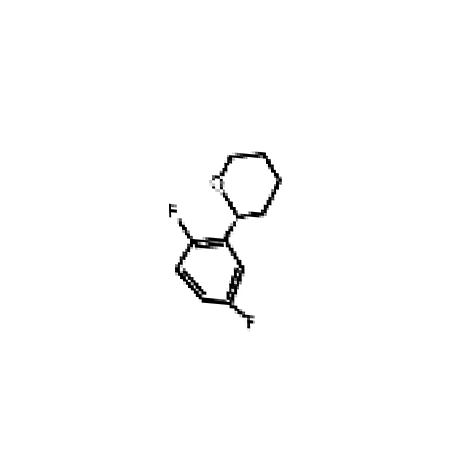 Fc1ccc(F)c([C@@H]2CCCCO2)c1